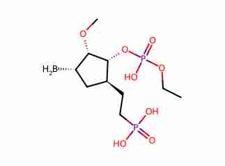 B[C@H]1C[C@H](CCP(=O)(O)O)[C@@H](OP(=O)(O)OCC)[C@H]1OC